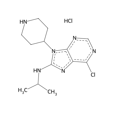 CC(C)Nc1nc2c(Cl)ncnc2n1C1CCNCC1.Cl